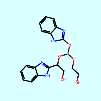 OCCOB(Oc1nc2ccccc2[nH]1)OC(CO)c1nc2ccccc2[nH]1